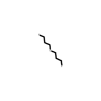 FCCCOCCCF